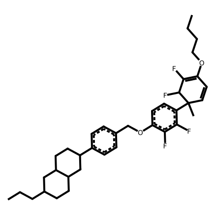 CCCCOC1=C(F)C(F)C(C)(c2ccc(OCc3ccc(C4CCC5CC(CCC)CCC5C4)cc3)c(F)c2F)C=C1